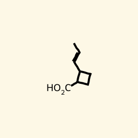 CC=CC1CCC1C(=O)O